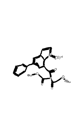 CC(C)(C)OC(=O)N(C(=O)OC(C)(C)C)C(=O)c1cc(-c2ccccc2)cc2ccn(C(=O)O)c12